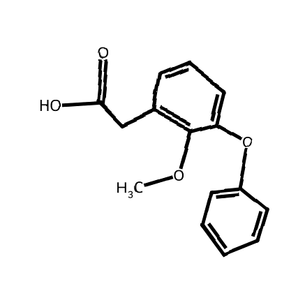 COc1c(CC(=O)O)cccc1Oc1ccccc1